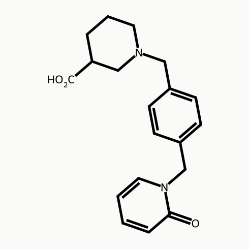 O=C(O)C1CCCN(Cc2ccc(Cn3ccccc3=O)cc2)C1